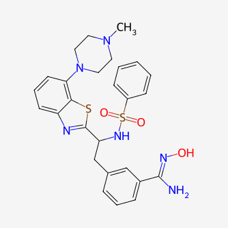 CN1CCN(c2cccc3nc(C(Cc4cccc(C(N)=NO)c4)NS(=O)(=O)c4ccccc4)sc23)CC1